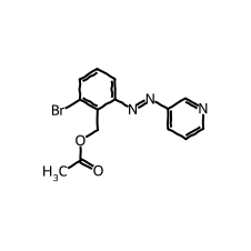 CC(=O)OCc1c(Br)cccc1N=Nc1cccnc1